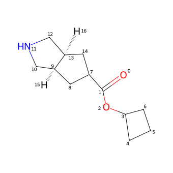 O=C(OC1CCC1)C1C[C@H]2CNC[C@H]2C1